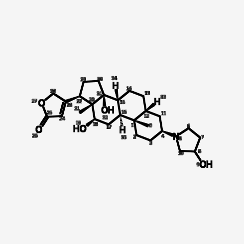 C[C@]12CC[C@H](N3CCC(O)C3)C[C@H]1CC[C@@H]1[C@@H]2C[C@@H](O)[C@]2(C)[C@@H](C3=CC(=O)OC3)CC[C@]12O